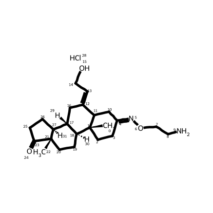 C[C@]12CCC(=NOCCN)CC1C(=CCO)C[C@@H]1[C@@H]2CC[C@]2(C)C(=O)CC[C@@H]12.Cl